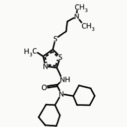 Cc1nc(NC(=O)N(C2CCCCC2)C2CCCCC2)sc1SCCN(C)C